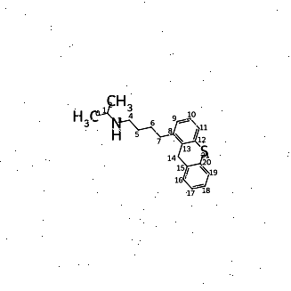 CC(C)NCCCCc1cccc2c1Cc1ccccc1S2